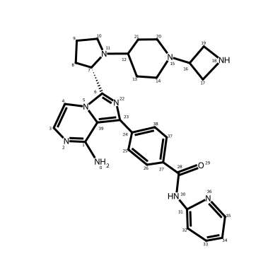 Nc1nccn2c([C@@H]3CCCN3C3CCN(C4CNC4)CC3)nc(-c3ccc(C(=O)Nc4ccccn4)cc3)c12